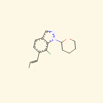 O=C(O)/C=C/c1ccc2cnn(C3CCCCO3)c2c1F